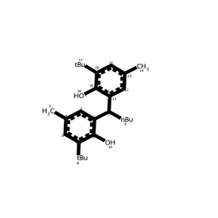 CCCCC(c1cc(C)cc(C(C)(C)C)c1O)c1cc(C)cc(C(C)(C)C)c1O